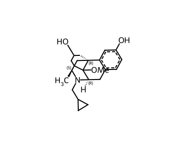 COC12[C@@H](C)CC(O)C[C@@]13CCN(CC1CC1)[C@@H]2Cc1ccc(O)cc13